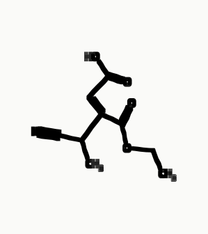 CCOC(=O)/C(=C\C(=O)O)C(C)C#N